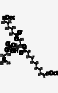 CCCCCCCC/C=C\CCCCCCCC(=O)OC(COC(=O)CCCCCCCCCCCCCCC)COP(=O)(O)OCCN(C)C